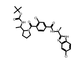 CC(NC(=O)OC(C)(C)C)C1CCCN1C(=O)c1ccc(C(=O)N[C@@H](C)c2nc3cc(Cl)ccc3[nH]2)cc1Cl